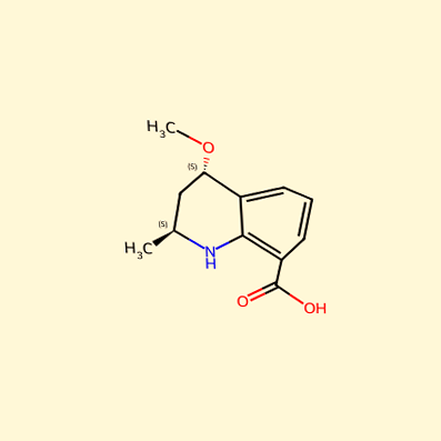 CO[C@H]1C[C@H](C)Nc2c(C(=O)O)cccc21